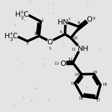 CC=C(CC)OC1NC(=O)C1NC(=O)c1ccccc1